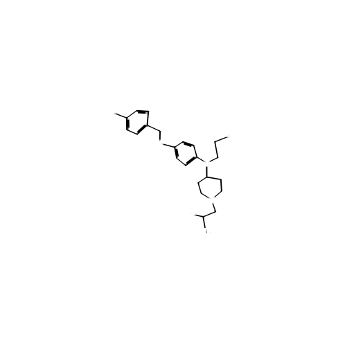 CCC(C)C(N)CN1CCC(N(CCC(C)C)c2ccc(OCc3ccc(Cl)cc3)cc2)CC1